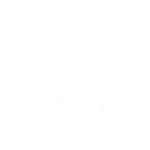 Cc1ccc(-c2cc(C(=O)NC3(c4cccc(F)c4)CC3)cc(-n3nnnc3C(C)C)c2)cc1